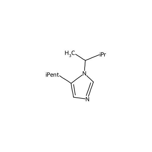 CCCC(C)c1cncn1C(C)C(C)C